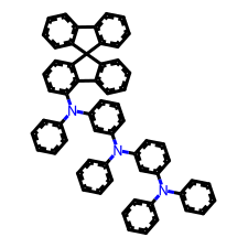 c1ccc(N(c2ccccc2)c2cccc(N(c3ccccc3)c3cccc(N(c4ccccc4)c4cccc5c4-c4ccccc4C54c5ccccc5-c5ccccc54)c3)c2)cc1